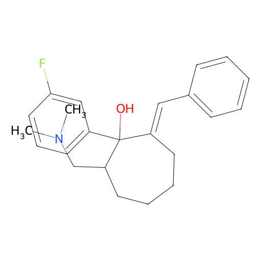 CN(C)CC1CCCCC(=Cc2ccccc2)C1(O)c1cccc(F)c1